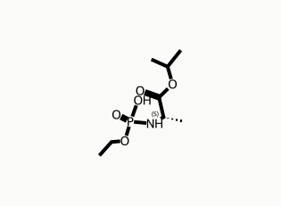 CCOP(=O)(O)N[C@@H](C)C(=O)OC(C)C